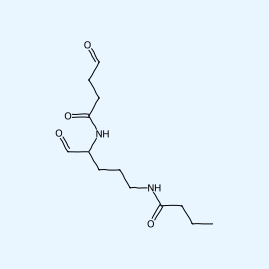 CCCC(=O)NCCCC(C=O)NC(=O)CCC=O